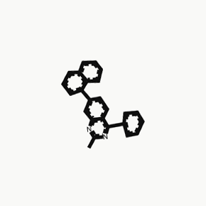 Cc1nc(-c2ccccc2)c2ccc(-c3cccc4ccccc34)cc2n1